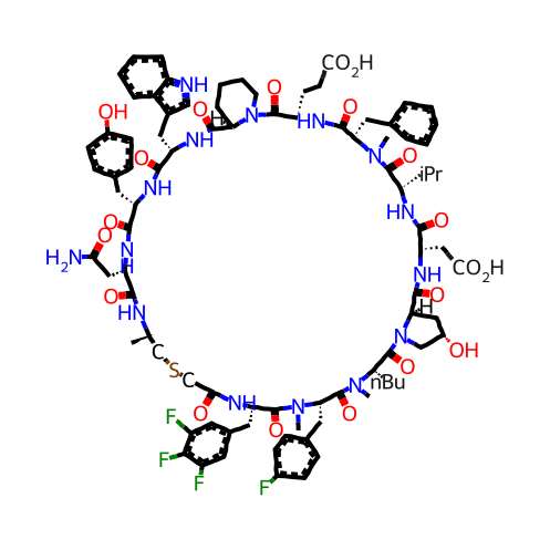 CCCC[C@H]1C(=O)N2C[C@@H](O)C[C@@H]2C(=O)N[C@@H](CC(=O)O)C(=O)N[C@@H](C(C)C)C(=O)N(C)[C@@H](Cc2ccccc2)C(=O)N[C@@H](CCC(=O)O)C(=O)N2CCCC[C@@H]2C(=O)N[C@@H](Cc2c[nH]c3ccccc23)C(=O)N[C@@H](Cc2ccc(O)cc2)C(=O)N[C@@H](CC(N)=O)C(=O)N[C@H](C)CSCC(=O)N[C@@H](Cc2cc(F)c(F)c(F)c2)C(=O)N(C)[C@@H](Cc2ccc(F)cc2)C(=O)N1C